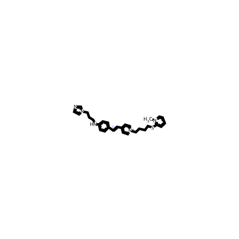 C[n+]1ccccc1SCCCC[n+]1ccc(/C=C/c2ccc(NCCCn3ccnc3)cc2)cc1